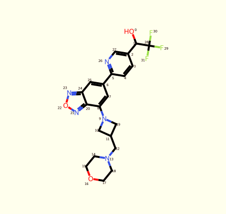 OC(c1ccc(-c2cc(N3CC(CN4CCOCC4)C3)c3nonc3c2)nc1)C(F)(F)F